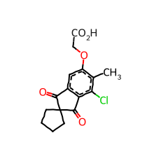 Cc1c(OCC(=O)O)cc2c(c1Cl)C(=O)C1(CCCC1)C2=O